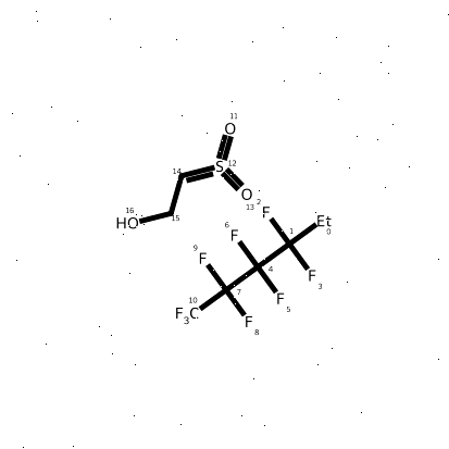 CCC(F)(F)C(F)(F)C(F)(F)C(F)(F)F.O=S(=O)=CCO